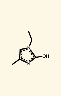 CCn1cc(C)nc1O